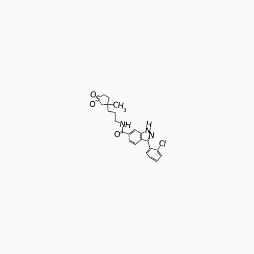 CC1(CCCNC(=O)c2ccc3c(-c4ccccc4Cl)n[nH]c3c2)CCS(=O)(=O)C1